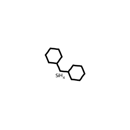 C1CCC(CC2CCCCC2)CC1.[SiH4]